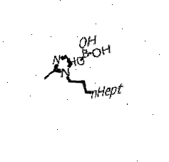 CCCCCCCCCCn1ccnc1C.OB(O)O